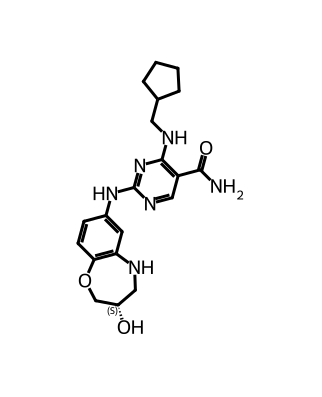 NC(=O)c1cnc(Nc2ccc3c(c2)NC[C@H](O)CO3)nc1NCC1CCCC1